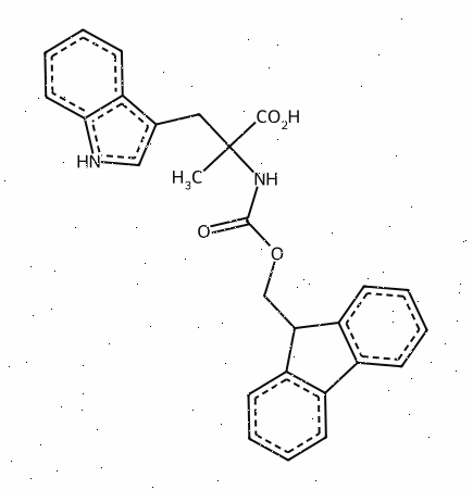 CC(Cc1c[nH]c2ccccc12)(NC(=O)OCC1c2ccccc2-c2ccccc21)C(=O)O